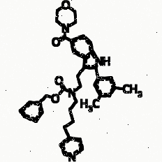 Cc1cc(C)cc(-c2[nH]c3ccc(C(=O)N4CCOCC4)cc3c2CCN(CCCCc2ccncc2)C(=O)OCc2ccccc2)c1